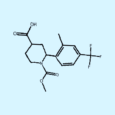 COC(=O)N1CCC(C(=O)O)CC1c1ccc(C(F)(F)F)cc1C